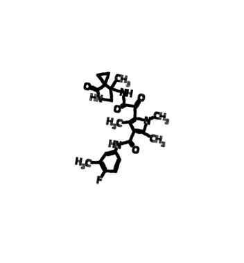 Cc1cc(NC(=O)c2c(C)c(C(=O)C(=O)NC3(C)CNC(=O)C34CC4)n(C)c2C)ccc1F